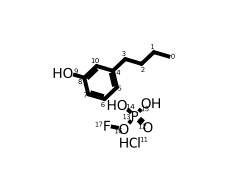 CCCCc1cccc(O)c1.Cl.O=P(O)(O)OF